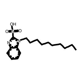 CCCCCCCCCCn1c(S(=O)(=O)O)nc2ccccc21